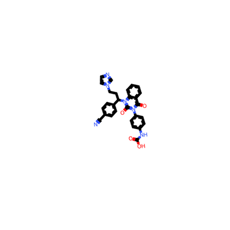 N#Cc1ccc(C(CCn2ccnc2)n2c(=O)n(-c3ccc(NC(=O)O)cc3)c(=O)c3ccccc32)cc1